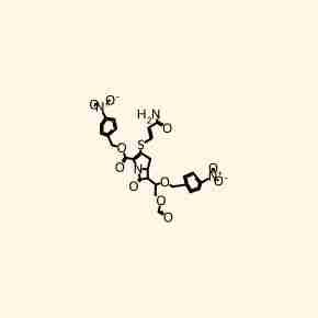 NC(=O)C=CSC1=C(C(=O)OCc2ccc([N+](=O)[O-])cc2)N2C(=O)C(C(COC=O)OCc3ccc([N+](=O)[O-])cc3)C2C1